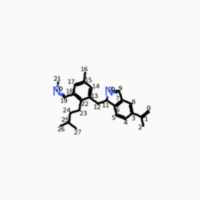 C=C(C)c1ccc2c(c1)C=NC2Cc1cc(C)cc(/C=N\C)c1CCC(C)C